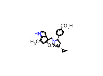 COc1cc(C)c2[nH]ccc2c1CN1CC[C@@H](C2CC2)C[C@@H]1c1ccc(C(=O)O)cc1